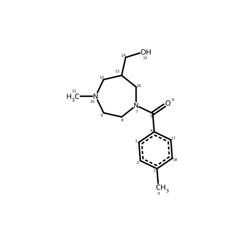 Cc1ccc(C(=O)N2CCN(C)CC(CO)C2)cc1